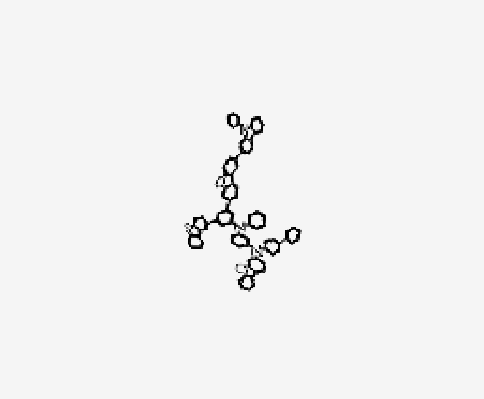 c1ccc(-c2ccc(N(c3cccc(N(c4ccccc4)c4cc(-c5ccc6c(c5)oc5ccc(-c7ccc8c9ccccc9n(-c9ccccc9)c8c7)cc56)cc(-c5ccc6sc7ccccc7c6c5)c4)c3)c3ccc4c(c3)oc3ccccc34)cc2)cc1